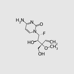 C=C[C@](CO)(OC)[C@@H](O)[C@@H](F)n1ccc(N)nc1=O